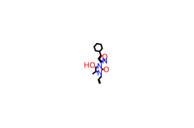 C=CCN1C(=O)N(c2cc(C3CCCCC3)on2)C(O)C1C